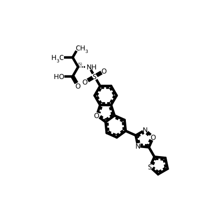 CC(C)[C@H](NS(=O)(=O)c1ccc2c(c1)oc1ccc(-c3noc(-c4cccs4)n3)cc12)C(=O)O